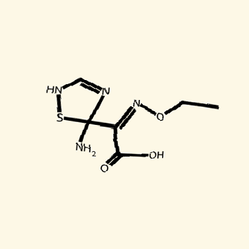 CCON=C(C(=O)O)C1(N)N=CNS1